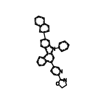 c1ccc(-n2c3cc(-c4ccc5ccccc5c4)ccc3c3c4ccccc4c(-c4ccc(C5=NCCO5)nc4)cc32)cc1